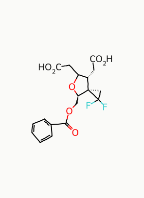 O=C(O)CC1O[C@H](COC(=O)c2ccccc2)[C@@]2(CC2(F)F)[C@H]1CC(=O)O